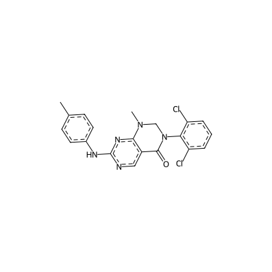 Cc1ccc(Nc2ncc3c(n2)N(C)CN(c2c(Cl)cccc2Cl)C3=O)cc1